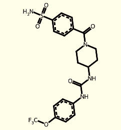 NS(=O)(=O)c1ccc(C(=O)N2CCC(NC(=O)Nc3ccc(OC(F)(F)F)cc3)CC2)cc1